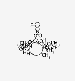 CC[C@@H]1C[C@@H](C)CC/C=C\[C@@H]2C[C@@]2(C(=O)NS(=O)(=O)C2(C)CC2)NC(=O)[C@@H]2C[C@@H](OC(=O)N3Cc4cccc(F)c4C3)CN2C(=O)[C@H]1NC(=O)OC(C)(C)C(F)(F)F